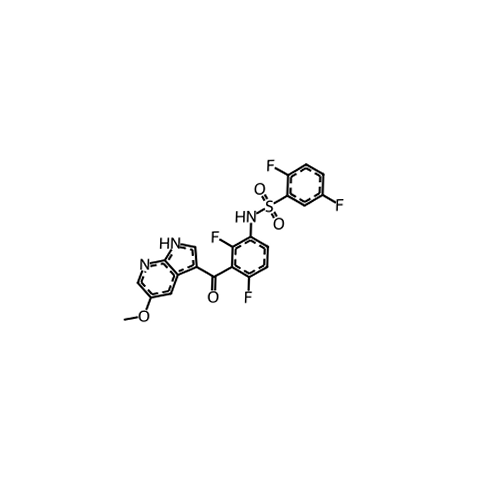 COc1cnc2[nH]cc(C(=O)c3c(F)ccc(NS(=O)(=O)c4cc(F)ccc4F)c3F)c2c1